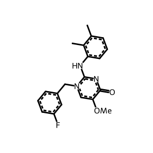 COc1cn(Cc2cccc(F)c2)c(Nc2cccc(C)c2C)nc1=O